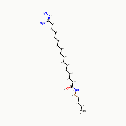 N/N=C(\N)CCCCCCCCCCCCCCCC(=O)NSCCCC=O